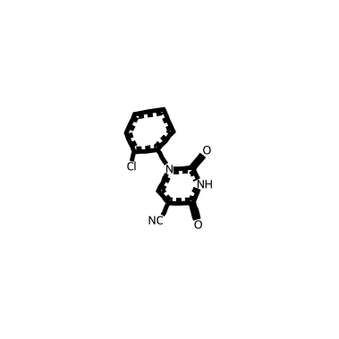 N#Cc1cn(-c2ccccc2Cl)c(=O)[nH]c1=O